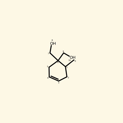 CC1CC=CCC1(CO)CO